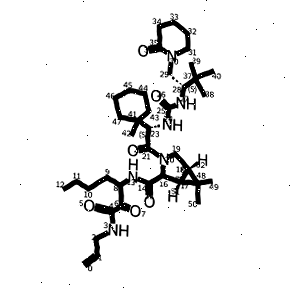 C=CCNC(=O)C(=O)C(CCCC)NC(=O)C1[C@@H]2[C@H](CN1C(=O)[C@@H](NC(=O)N[C@H](CN1CCCCC1=O)C(C)(C)C)C1(C)CCCCC1)C2(C)C